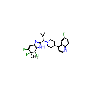 CC1(F)C(F)=Cc2nc([C@@H](C3CC3)N3CCC(c4ccnc5ccc(F)cc45)CC3)[nH]c2C1Cl